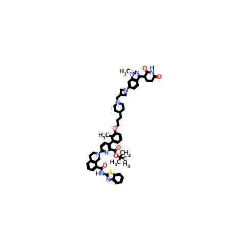 Cc1c(OCCCC2CCN(CC3CN(c4ccc5c(C6CCC(=O)NC6=O)nn(C)c5c4)C3)CC2)cccc1-c1ccc(N2CCc3cccc(C(=O)Nc4nc5ccccc5s4)c3C2)nc1C(=O)OC(C)(C)C